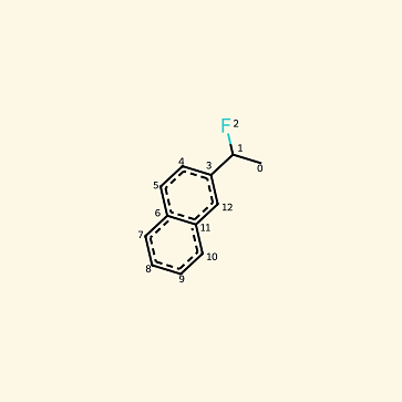 CC(F)c1ccc2ccccc2c1